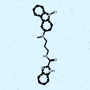 CCn1c2ccccc2c2cc(N(C)CCCNC(=O)c3nc4ccccc4[nH]3)ccc21